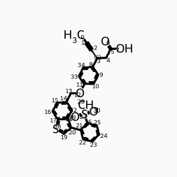 CC#C[C@@H](CC(=O)O)c1ccc(OCc2ccc3scc(-c4ccccc4S(C)(=O)=O)c3c2)cc1